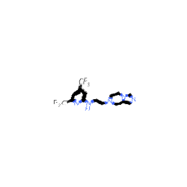 FC(F)(F)c1cc(NCCN2CCn3cncc3C2)nc(C(F)(F)F)c1